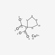 O=C([O-])C1(C(=O)[O-])CCCCC1.[Cu+2]